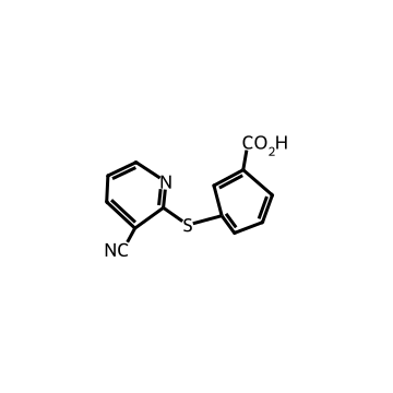 N#Cc1cccnc1Sc1cccc(C(=O)O)c1